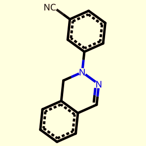 N#Cc1cccc(N2Cc3ccccc3C=N2)c1